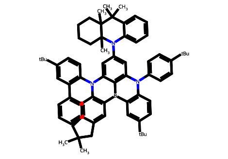 CC1(C)Cc2cc3c(cc2C1)N(c1ccc(C(C)(C)C)cc1-c1ccccc1)c1cc(N2c4ccccc4C(C)(C)C4(C)CCCCC24C)cc2c1B3c1cc(C(C)(C)C)ccc1N2c1ccc(C(C)(C)C)cc1